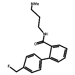 CNCCCNC(=O)c1ccccc1-c1ccc(CF)cc1